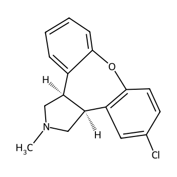 CN1C[C@@H]2c3cc(Cl)ccc3Oc3ccccc3[C@@H]2C1